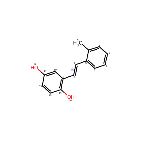 Cc1ccccc1/C=C/c1cc(O)ccc1O